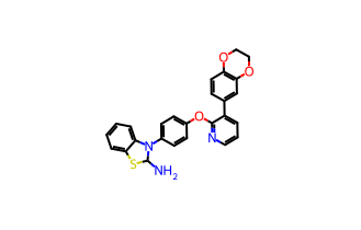 NC1Sc2ccccc2N1c1ccc(Oc2ncccc2-c2ccc3c(c2)OCCO3)cc1